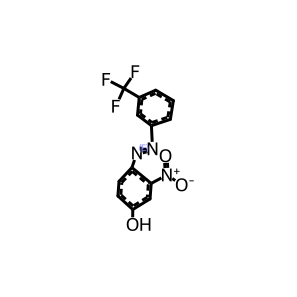 O=[N+]([O-])c1cc(O)ccc1/N=N/c1cccc(C(F)(F)F)c1